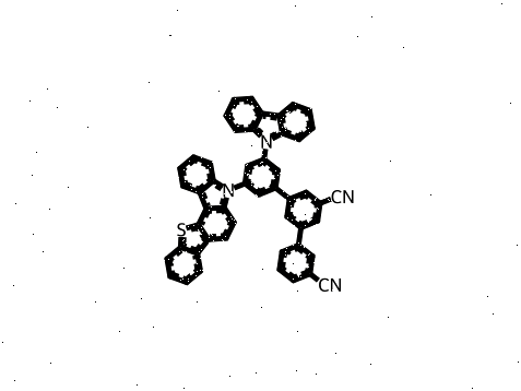 N#Cc1cccc(-c2cc(C#N)cc(-c3cc(-n4c5ccccc5c5ccccc54)cc(-n4c5ccccc5c5c6sc7ccccc7c6ccc54)c3)c2)c1